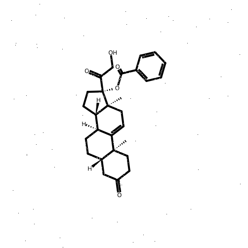 C[C@]12CC=C3[C@@H](CC[C@H]4CC(=O)CC[C@]34C)[C@@H]1CC[C@@]2(OC(=O)c1ccccc1)C(=O)CO